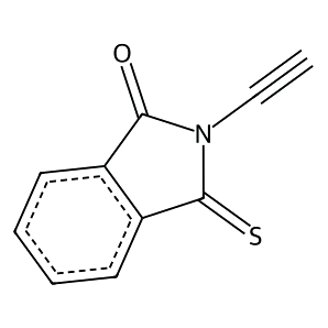 C#CN1C(=O)c2ccccc2C1=S